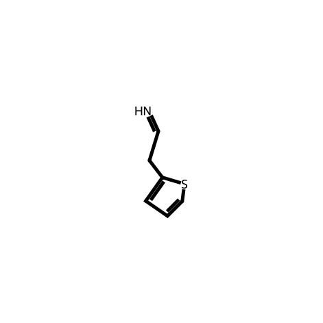 N=CCc1cccs1